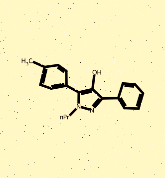 CCCn1nc(-c2ccccc2)c(O)c1-c1ccc(C)cc1